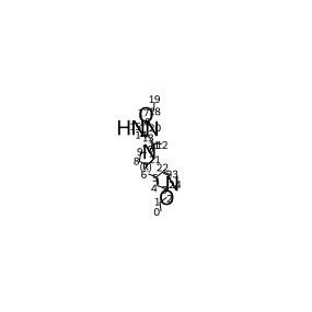 CCOc1cc(C[C@@H]2CCN(C(C)c3c[nH]c(OCC)n3)C2)ccn1